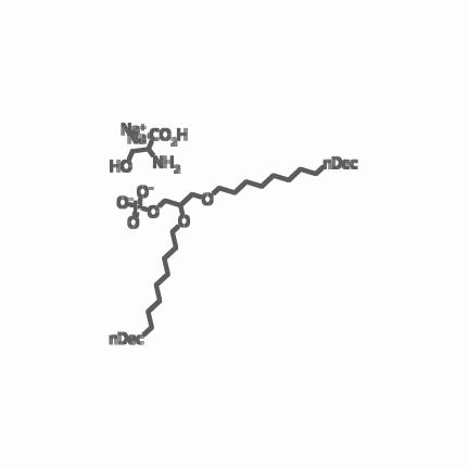 CCCCCCCCCCCCCCCCCCOCC(COP(=O)([O-])[O-])OCCCCCCCCCCCCCCCCCC.NC(CO)C(=O)O.[Na+].[Na+]